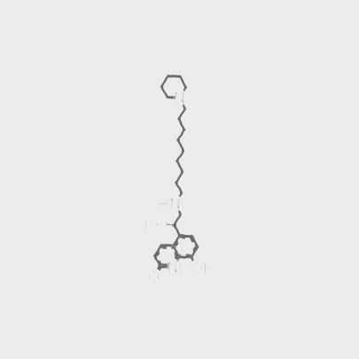 O=c1ccc2c([C@@H](O)CNCCCCCCCCCN3CC[CH]CC3)ccc(O)c2[nH]1